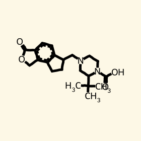 CC(C)(C)C1CN(CC2CCc3c2ccc2c3COC2=O)CCN1C(=O)O